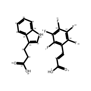 O=C(O)C=Cc1c(F)c(F)c(F)c(F)c1F.O=C(O)CCc1c[nH]c2ccccc12